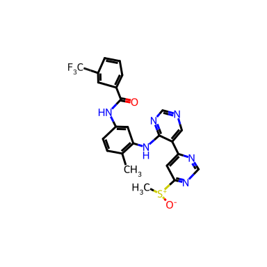 Cc1ccc(NC(=O)c2cccc(C(F)(F)F)c2)cc1Nc1ncncc1-c1cc([S+](C)[O-])ncn1